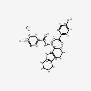 O=C([O][Ti+]([O]C(=O)c1ccc(F)cc1)[CH]1CCCC2=C1CC1=C2CCCC1)c1ccc(F)cc1.[Cl-]